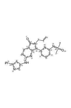 C=CCn1c(=O)c2cnc(Nc3cnn(C(C)C)c3)nc2n1-c1cccc(N=S(C)(C)=O)n1